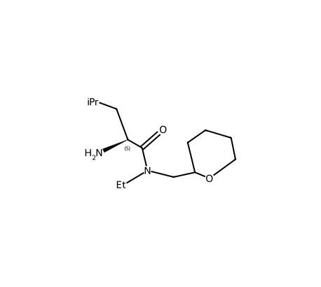 CCN(CC1CCCCO1)C(=O)[C@@H](N)CC(C)C